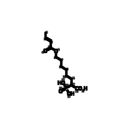 CC=CC(=O)OCCCCCCC(C(=O)O)P(=O)(O)O